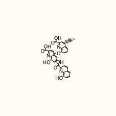 O=C(O)c1ccc2cccc(O)c2n1.O=C(O)c1ccc2cccc(O)c2n1.O=C(O)c1ccc2cccc(O)c2n1.[Al+3].[Al+3]